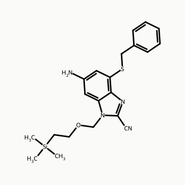 C[Si](C)(C)CCOCn1c(C#N)nc2c(SCc3ccccc3)cc(N)cc21